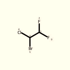 FC(F)C(Cl)Br